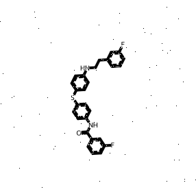 O=C(Nc1ccc(Sc2ccc(NCCc3cccc(F)c3)cc2)cc1)c1cccc(F)c1